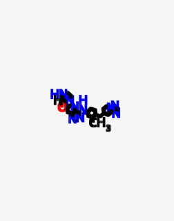 Cc1cc(Nc2ncnc3cc4c(nc23)N2CCN[C@H](CO4)C2)ccc1Cc1ccn2ncnc2c1